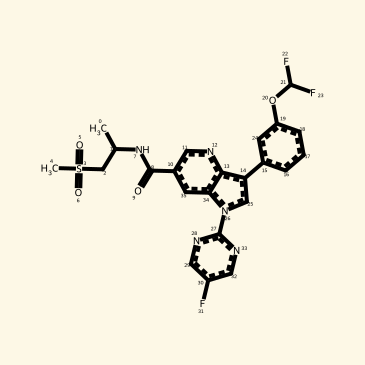 CC(CS(C)(=O)=O)NC(=O)c1cnc2c(-c3cccc(OC(F)F)c3)cn(-c3ncc(F)cn3)c2c1